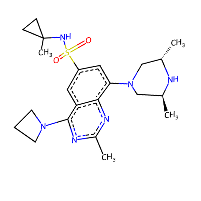 Cc1nc(N2CCC2)c2cc(S(=O)(=O)NC3(C)CC3)cc(N3C[C@H](C)N[C@@H](C)C3)c2n1